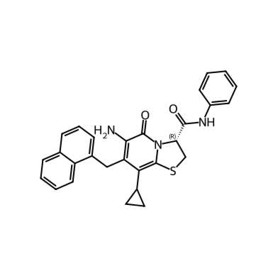 Nc1c(Cc2cccc3ccccc23)c(C2CC2)c2n(c1=O)[C@H](C(=O)Nc1ccccc1)CS2